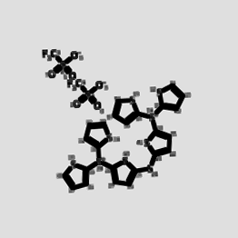 O=S(=O)([O-])C(F)(F)F.O=S(=O)([O-])C(F)(F)F.c1csc([S+](c2cccs2)c2ccc(Sc3ccc([S+](c4cccs4)c4cccs4)s3)s2)c1